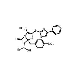 CC[C@H](O)[C@@H]1C(=O)N2C(C(=O)O)=C(Sc3nc(-c4ccccc4)cs3)S[C@]12Cc1ccc([N+](=O)[O-])cc1